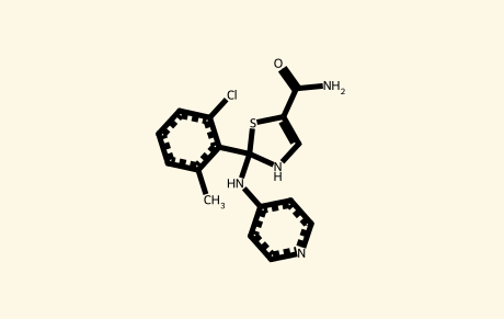 Cc1cccc(Cl)c1C1(Nc2ccncc2)NC=C(C(N)=O)S1